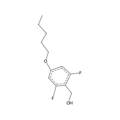 CCCCCOc1cc(F)c(CO)c(F)c1